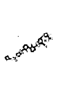 Cc1c(-c2nc3cc(CN4CC[C@@](C)(C(=O)O)C4)cc(C#N)c3o2)cccc1-c1cccc(-c2nc3c(s2)CN(C(=O)CNC2CCC2)C3)c1C